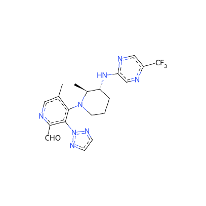 Cc1cnc(C=O)c(-n2nccn2)c1N1CCC[C@@H](Nc2cnc(C(F)(F)F)cn2)[C@@H]1C